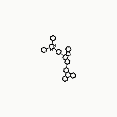 c1ccc(-c2cc(-c3ccccc3)nc(-c3ccc(-c4nc5cc(-c6ccc7c8ccccc8c8ccccc8c7c6)ccc5c5sc6ccccc6c45)cc3)n2)cc1